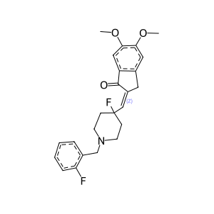 COc1cc2c(cc1OC)C(=O)/C(=C\C1(F)CCN(Cc3ccccc3F)CC1)C2